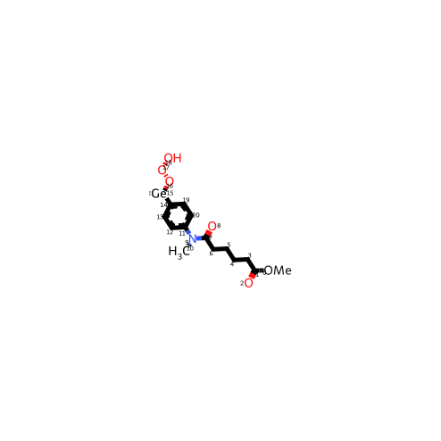 COC(=O)CCCCC(=O)N(C)c1cc[c]([Ge][O]OO)cc1